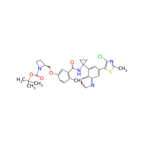 Cc1nc(Cl)c(-c2cc(C3(NC(=O)c4cc(OC[C@@H]5CCN5C(=O)OC(C)(C)C)ccc4C)CC3)c3cccnc3c2)s1